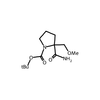 COCC1(C(N)=O)CCCN1C(=O)OC(C)(C)C